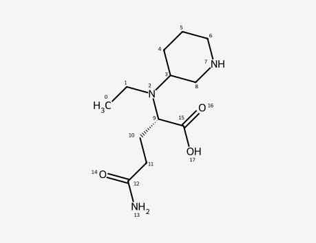 CCN(C1CCCNC1)[C@@H](CCC(N)=O)C(=O)O